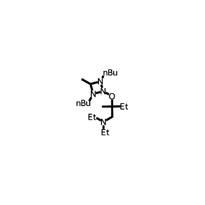 CCCCN1C(C)N(CCCC)N1OC(C)(CC)CN(CC)CC